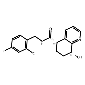 O=C(NCc1ccc(F)cc1Cl)[C@H]1CC[C@@H](O)c2ncccc21